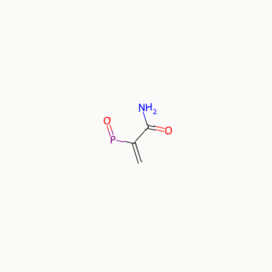 C=C(P=O)C(N)=O